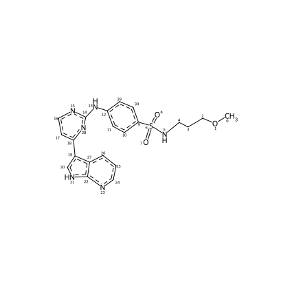 COCCCNS(=O)(=O)c1ccc(Nc2nccc(-c3c[nH]c4ncccc34)n2)cc1